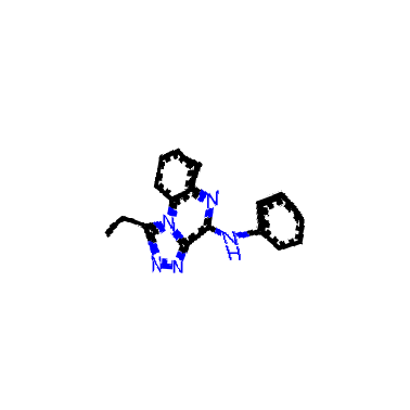 CCc1nnc2c(Nc3ccccc3)nc3ccccc3n12